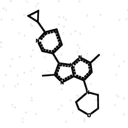 Cc1cc(N2CCOCC2)c2nc(C)c(-c3ccc(C4CC4)nc3)n2n1